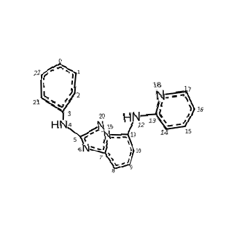 c1ccc(Nc2nc3cccc(Nc4ccccn4)n3n2)cc1